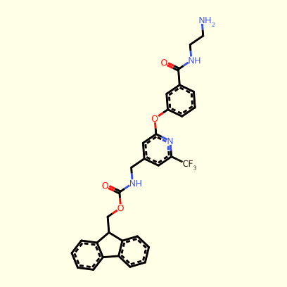 NCCNC(=O)c1cccc(Oc2cc(CNC(=O)OCC3c4ccccc4-c4ccccc43)cc(C(F)(F)F)n2)c1